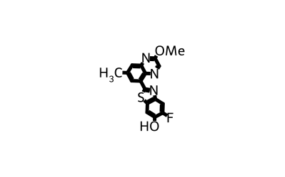 COc1cnc2c(-c3nc4cc(F)c(O)cc4s3)cc(C)cc2n1